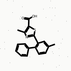 Cc1ccc(-c2ccccc2)c(-c2nc(C)c(C(=O)O)s2)c1